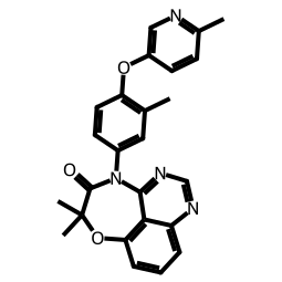 Cc1ccc(Oc2ccc(N3C(=O)C(C)(C)Oc4cccc5ncnc3c45)cc2C)cn1